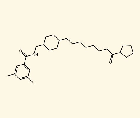 Cc1cc(C)cc(C(=O)NCC2CCC(CCCCCCCC(=O)C3CCCC3)CC2)c1